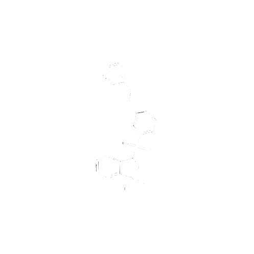 O=S1(=O)CC(S(=O)(=O)c2cccc(OCc3cccnc3)c2)c2ccccc21